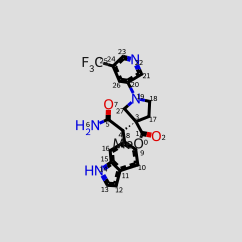 COC(=O)[C@]1(C(C(N)=O)c2ccc3cc[nH]c3c2)CCN(c2cncc(C(F)(F)F)c2)C1